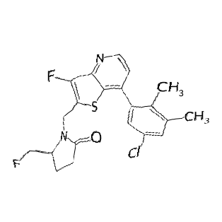 Cc1cc(Cl)cc(-c2ccnc3c(F)c(CN4C(=O)CCC4CF)sc23)c1C